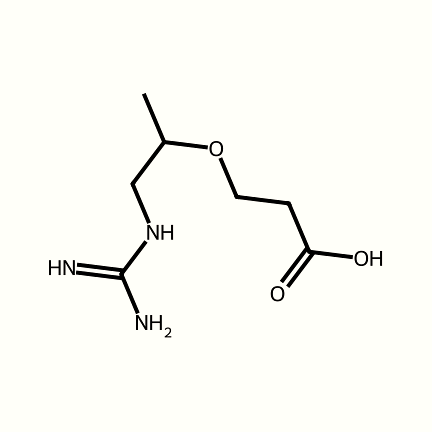 CC(CNC(=N)N)OCCC(=O)O